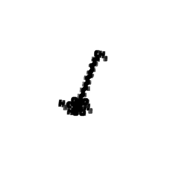 CCCCCCCCCCCCCCCC(=O)OC(C)(C(=O)O)C(=O)C(C)O